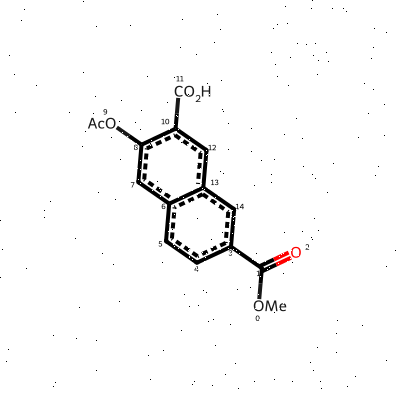 COC(=O)c1ccc2cc(OC(C)=O)c(C(=O)O)cc2c1